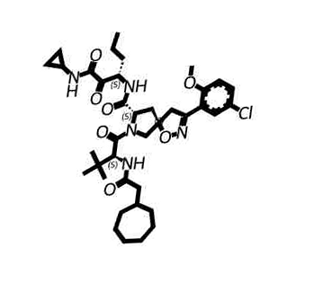 CCC[C@H](NC(=O)[C@@H]1C[C@]2(CC(c3cc(Cl)ccc3OC)=NO2)CN1C(=O)[C@@H](NC(=O)CC1CCCCCC1)C(C)(C)C)C(=O)C(=O)NC1CC1